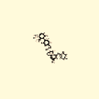 O=c1cc(CN2CCOCC2)n2c(n1)O[C@H](COc1ccc(-c3cccc(Cl)c3Cl)cc1)C2